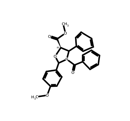 COC(=O)[C@@H]1OC(c2ccc(OC)cc2)N(C(=O)c2ccccc2)C1c1ccccc1